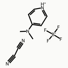 CN(C)c1cc[nH+]cc1.F[B-](F)(F)F.N#CC#N